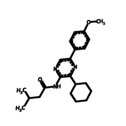 COc1ccc(-c2cnc(NC(=O)CC(C)C)c(C3CCCCC3)n2)cc1